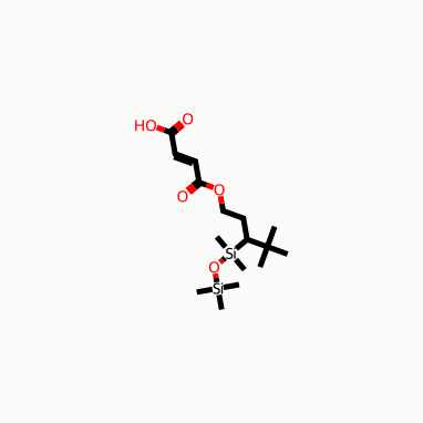 CC(C)(C)C(CCOC(=O)C=CC(=O)O)[Si](C)(C)O[Si](C)(C)C